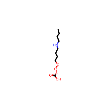 CCCCNCCCCOOOC(=O)O